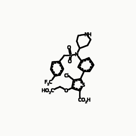 O=C(O)COc1c(C(=O)O)sc(-c2cccc(N(C3CCNCC3)S(=O)(=O)Cc3ccc(C(F)(F)F)cc3)c2)c1Cl